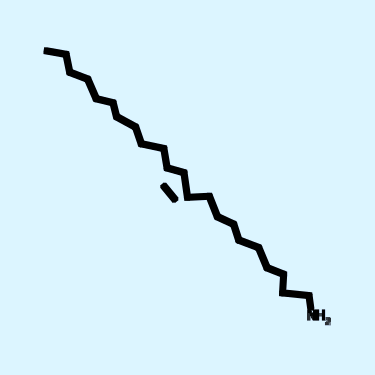 CC.CCCCCCCCCCCCCCCCCCCCCCN